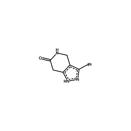 CC(C)c1n[nH]c2c1CNC(=O)C2